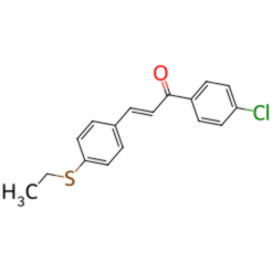 CCSc1ccc(/C=C/C(=O)c2ccc(Cl)cc2)cc1